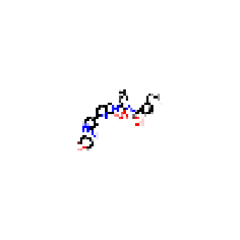 Cc1cccc(C(CO)NC(=O)C(C)N2Cc3ccc(-c4ccnc(NC5CCOCC5)c4)nc3C2=O)c1